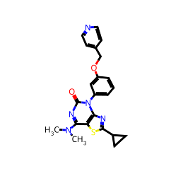 CN(C)c1nc(=O)n(-c2cccc(OCc3ccncc3)c2)c2nc(C3CC3)sc12